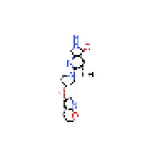 Cc1cc2c(nc1N1CCC(Oc3cnc4c(c3)CCCO4)CC1)CNC2=O